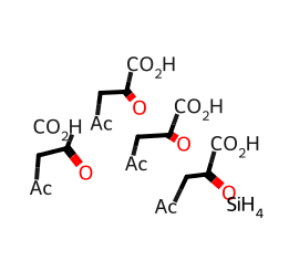 CC(=O)CC(=O)C(=O)O.CC(=O)CC(=O)C(=O)O.CC(=O)CC(=O)C(=O)O.CC(=O)CC(=O)C(=O)O.[SiH4]